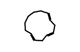 [CH]1/C=C/C/C=C/CCCCC/C=C/1